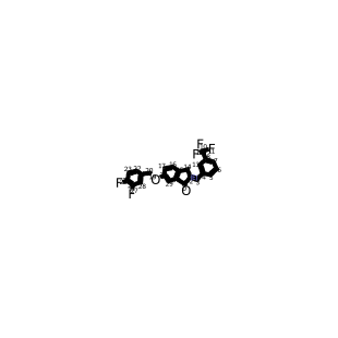 O=C1/C(=C/c2cccc(C(F)(F)F)c2)Cc2ccc(OCc3ccc(F)c(F)c3)cc21